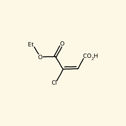 CCOC(=O)/C(Cl)=C\C(=O)O